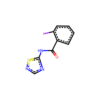 O=C(Nc1ncns1)c1ccccc1I